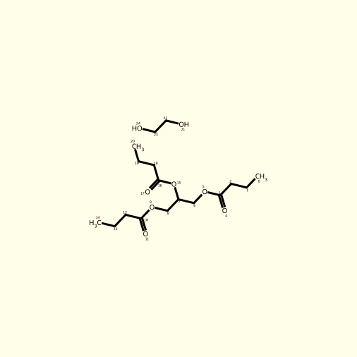 CCCC(=O)OCC(COC(=O)CCC)OC(=O)CCC.OCCO